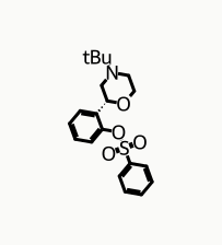 CC(C)(C)N1CCO[C@H](c2ccccc2OS(=O)(=O)c2ccccc2)C1